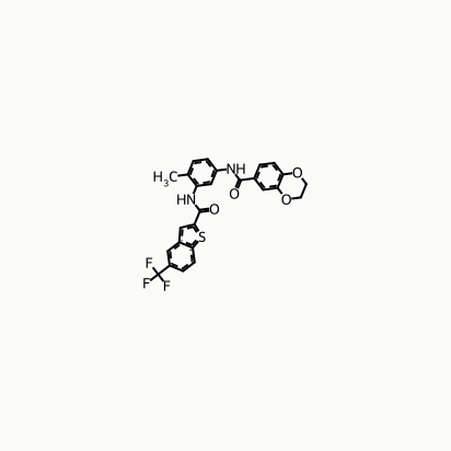 Cc1ccc(NC(=O)c2ccc3c(c2)OCCO3)cc1NC(=O)c1cc2cc(C(F)(F)F)ccc2s1